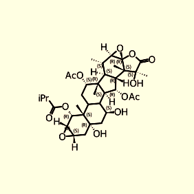 CC(=O)O[C@H]1[C@@H]2[C@H]([C@H](C)[C@H]3O[C@]34OC(=O)[C@@](C)(O)[C@]24C)[C@@]2(C)[C@@H](OC(C)=O)CC3C([C@H]12)[C@@H](O)C[C@@]1(O)C[C@@H]2O[C@@H]2[C@H](OC(=O)C(C)C)[C@]31C